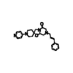 O=C1CN(C/C=C/c2ccccc2)CC2OC3(CCN(c4ccncc4)CC3)CN12